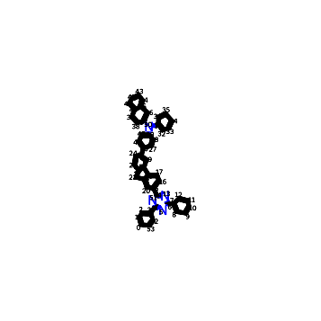 c1ccc(-c2nc(-c3ccccc3)nc(-c3ccc4c(c3)Cc3ccc(-c5ccc(N(c6ccccc6)c6ccc7ccccc7c6)cc5)cc3-4)n2)cc1